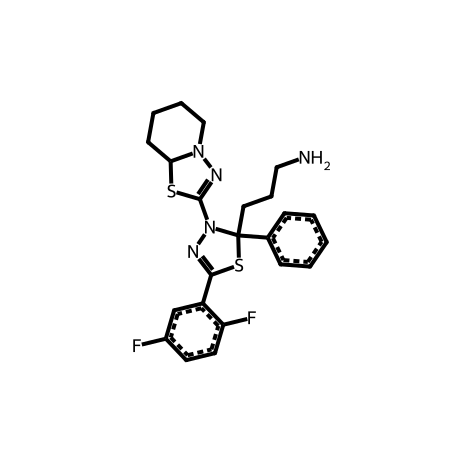 NCCCC1(c2ccccc2)SC(c2cc(F)ccc2F)=NN1C1=NN2CCCCC2S1